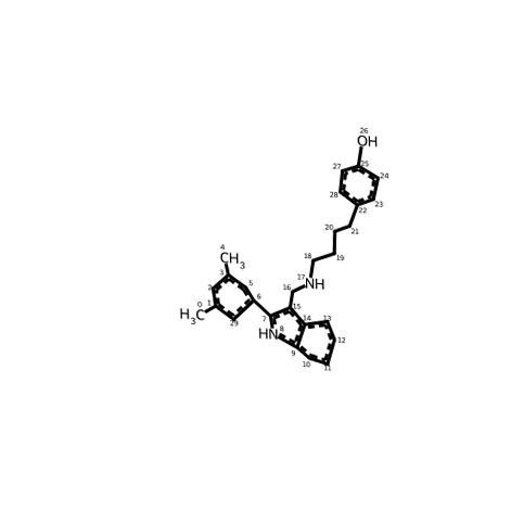 Cc1cc(C)cc(-c2[nH]c3ccccc3c2CNCCCCc2ccc(O)cc2)c1